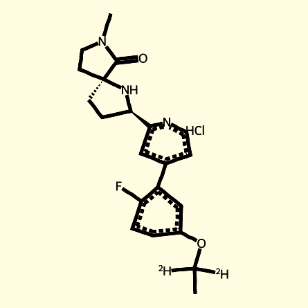 Cl.[2H]C([2H])(C)Oc1ccc(F)c(-c2ccnc([C@H]3CC[C@@]4(CCN(C)C4=O)N3)c2)c1